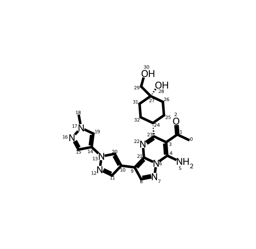 CC(=O)c1c(N)n2ncc(-c3cnn(-c4cnn(C)c4)c3)c2nc1[C@H]1CC[C@](O)(CO)CC1